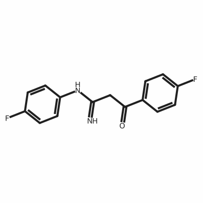 N=C(CC(=O)c1ccc(F)cc1)Nc1ccc(F)cc1